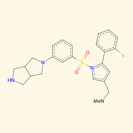 CNCc1cc(-c2ccccc2F)n(S(=O)(=O)c2cccc(N3CC4CNCC4C3)c2)c1